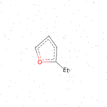 C[C]c1ccco1